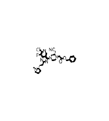 CN1CCC[C@H]1CCc1nc(N2CCN(CC(=O)OCc3ccccc3)[C@@H](CC#N)C2)c2cnc(Cl)c(F)c2n1